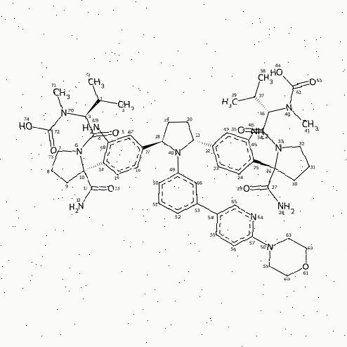 CC(C)[C@@H](C(=O)N1CCC[C@@]1(C(N)=O)c1ccc([C@H]2CC[C@H](c3ccc([C@]4(C(N)=O)CCCN4C(=O)[C@H](C(C)C)N(C)C(=O)O)c(N)c3)N2c2cccc(-c3ccc(N4CCOCC4)nc3)c2)cc1N)N(C)C(=O)O